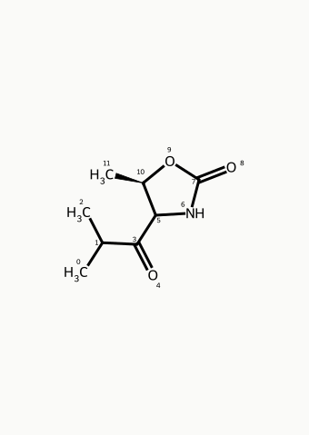 CC(C)C(=O)C1NC(=O)O[C@@H]1C